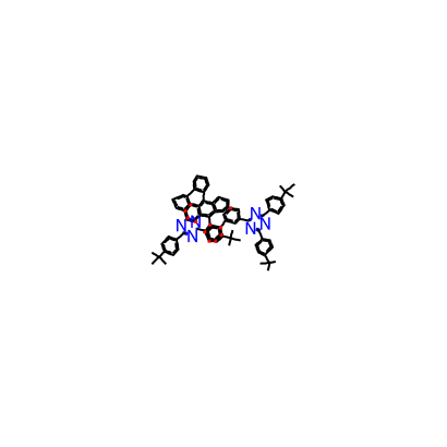 CC(C)(C)c1ccc(-c2nc(-c3ccc(C(C)(C)C)cc3)nc(-c3cccc(-c4ccccc4-c4c5ccccc5c(-c5ccccc5-c5cccc(-c6nc(-c7ccc(C(C)(C)C)cc7)nc(-c7ccc(C(C)(C)C)cc7)n6)c5)c5ccccc45)c3)n2)cc1